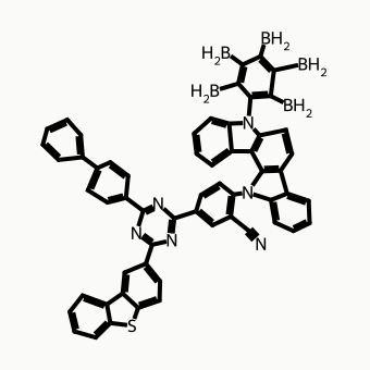 Bc1c(B)c(B)c(-n2c3ccccc3c3c2ccc2c4ccccc4n(-c4ccc(-c5nc(-c6ccc(-c7ccccc7)cc6)nc(-c6ccc7sc8ccccc8c7c6)n5)cc4C#N)c23)c(B)c1B